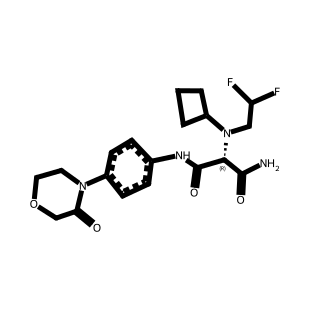 NC(=O)[C@H](C(=O)Nc1ccc(N2CCOCC2=O)cc1)N(CC(F)F)C1CCC1